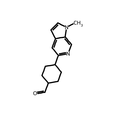 Cn1ccc2cc(C3CCC(C=O)CC3)ncc21